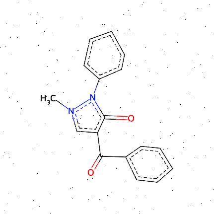 Cn1cc(C(=O)c2ccccc2)c(=O)n1-c1ccccc1